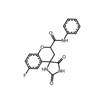 O=C1NC(=O)C2(CC(C(=O)Nc3ccccc3)Oc3ccc(F)cc32)N1